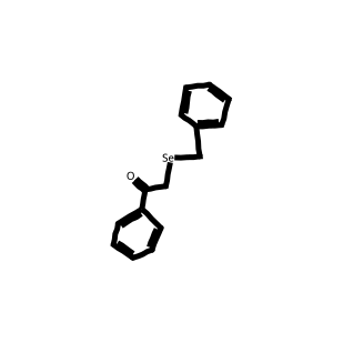 O=C(C[Se]Cc1ccccc1)c1ccccc1